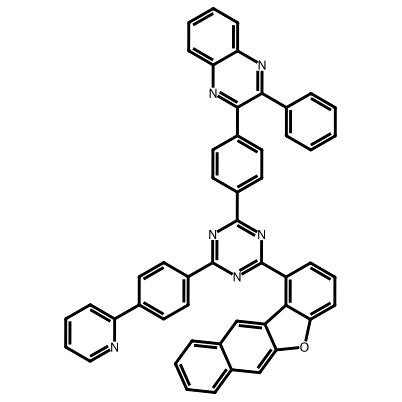 c1ccc(-c2nc3ccccc3nc2-c2ccc(-c3nc(-c4ccc(-c5ccccn5)cc4)nc(-c4cccc5oc6cc7ccccc7cc6c45)n3)cc2)cc1